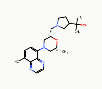 C[C@@H]1CN(c2ccc(C#N)c3nccnc23)C[C@H](CN2CCC(C(C)(C)O)C2)O1